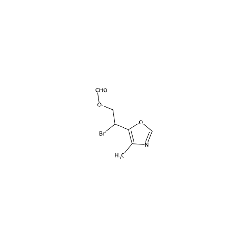 Cc1ncoc1C(Br)COC=O